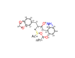 CCCC(=O)O[C@H](C(=O)C(CSC(C)=O)Cc1ccc2c(c1)OCO2)c1ccccc1N